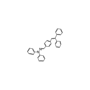 C(=NN(c1ccccc1)c1ccccc1)c1ccc(C=C(c2ccccc2)c2ccccc2)cc1